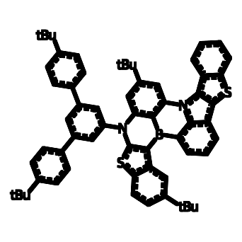 CC(C)(C)c1ccc(-c2cc(-c3ccc(C(C)(C)C)cc3)cc(N3c4cc(C(C)(C)C)cc5c4B(c4c3sc3ccc(C(C)(C)C)cc43)c3cccc4c6sc7ccccc7c6n-5c34)c2)cc1